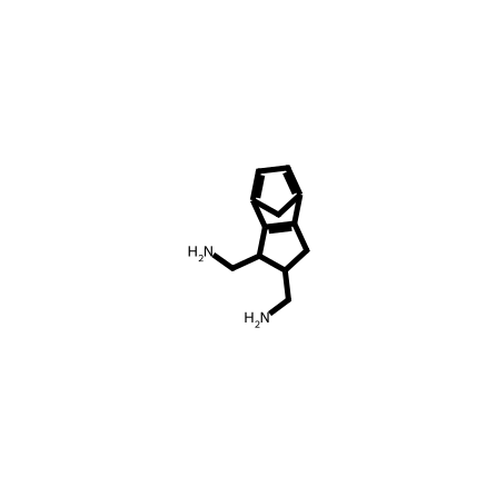 NCC1CC2=C(C3=CC=C2C3)C1CN